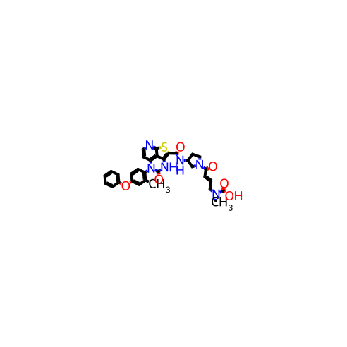 Cc1cc(Oc2ccccc2)ccc1N1C(=O)Nc2c(C(=O)NC3CCN(C(=O)C=CCN(C)C(=O)O)C3)sc3nccc1c23